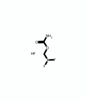 F.NC(=O)OCB(F)F